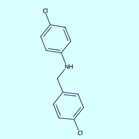 Clc1ccc(CNc2ccc(Cl)cc2)cc1